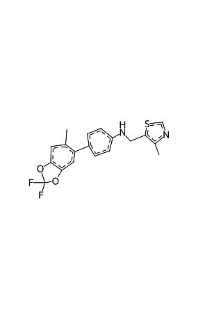 Cc1cc2c(cc1-c1ccc(NCc3scnc3C)cc1)OC(F)(F)O2